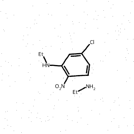 CCN.CCNc1cc(Cl)ccc1[N+](=O)[O-]